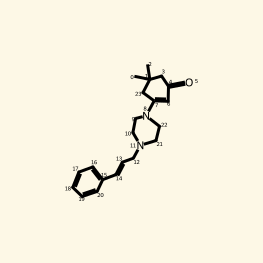 CC1(C)CC(=O)C=C(N2CCN(CC=Cc3ccccc3)CC2)C1